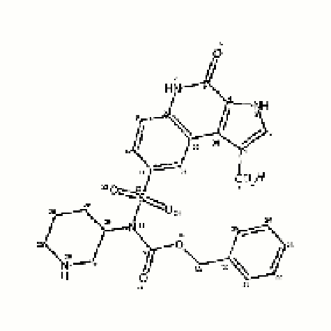 O=C(O)c1c[nH]c2c(=O)[nH]c3ccc(S(=O)(=O)N(C(=O)OCc4ccccc4)C4CCCNC4)cc3c12